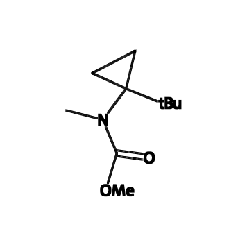 COC(=O)N(C)C1(C(C)(C)C)CC1